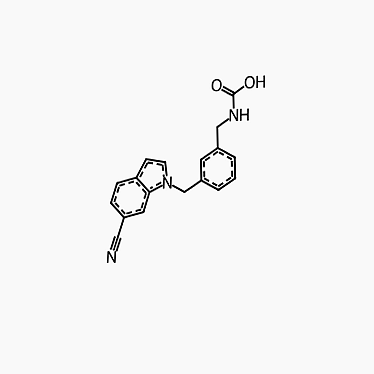 N#Cc1ccc2ccn(Cc3cccc(CNC(=O)O)c3)c2c1